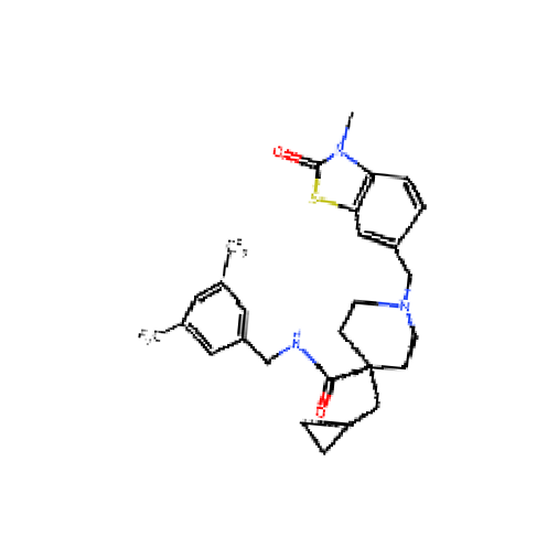 Cn1c(=O)sc2cc(CN3CCC(CC4CC4)(C(=O)NCc4cc(C(F)(F)F)cc(C(F)(F)F)c4)CC3)ccc21